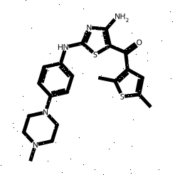 Cc1cc(C(=O)c2sc(Nc3ccc(N4CCN(C)CC4)cc3)nc2N)c(C)s1